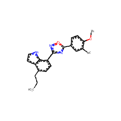 [C-]#[N+]c1cc(-c2nc(-c3ccc(CCC(=O)O)c4cc[nH]c34)no2)ccc1OC(C)C